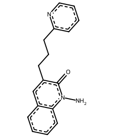 Nn1c(=O)c(CCCc2ccccn2)cc2ccccc21